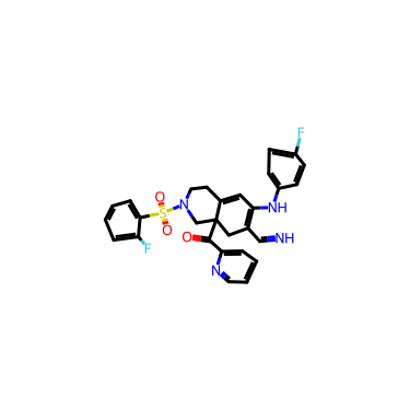 N=CC1=C(Nc2ccc(F)cc2)C=C2CCN(S(=O)(=O)c3ccccc3F)CC2(C(=O)c2ccccn2)C1